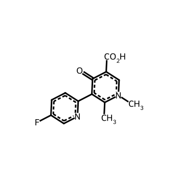 Cc1c(-c2ccc(F)cn2)c(=O)c(C(=O)O)cn1C